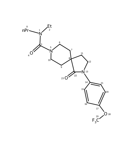 CCCN(CC)C(=O)N1CCC2(CC1)CCN(c1ccc(OC(F)(F)F)cc1)C2=O